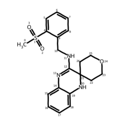 CS(=O)(=O)c1ccccc1CNC1=Nc2ccccc2NC12CCOCC2